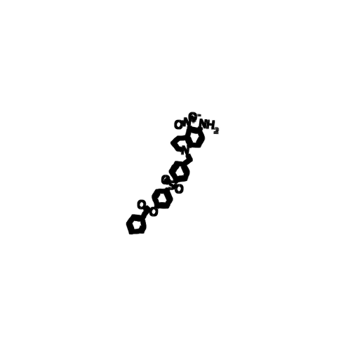 Nc1ccc2c(c1[N+](=O)[O-])CCCN2Cc1ccc(S(=O)(=O)c2ccc(OC(=O)c3ccccc3)cc2)cc1